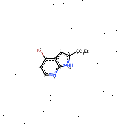 CCOC(=O)c1cc2c(Br)ccnc2[nH]1